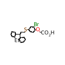 CCc1ccccc1C(=CCSc1ccc(OCC(=O)O)c(Br)c1)c1ccccc1